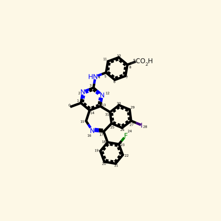 Cc1nc(Nc2ccc(C(=O)O)cc2)nc2c1CN=C(c1ccccc1F)c1cc(I)ccc1-2